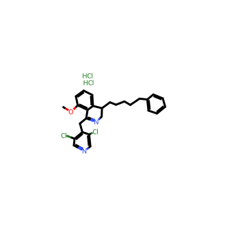 COc1cccc2c1C(Cc1c(Cl)cncc1Cl)=NCC2CCCCCc1ccccc1.Cl.Cl